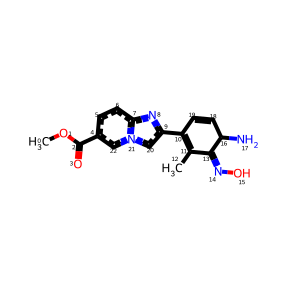 COC(=O)c1ccc2nc(C3=C(C)C(=NO)C(N)C=C3)cn2c1